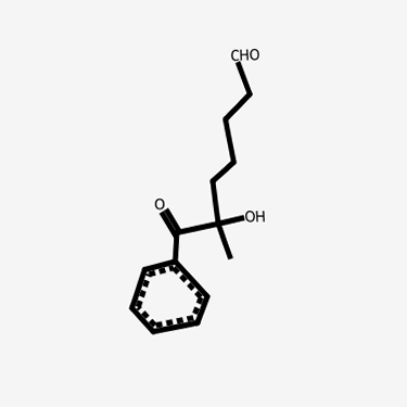 CC(O)(CCCCC=O)C(=O)c1ccccc1